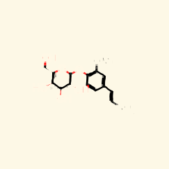 COc1cc(C=C[N+](=O)[O-])ccc1OC1O[C@H](CO)[C@H](O)[C@H](O)[C@H]1O